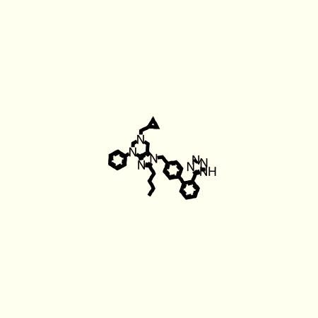 CCCCc1nc2c(n1Cc1ccc(-c3ccccc3-c3nnn[nH]3)cc1)CN(CC1CC1)CN2c1ccccc1